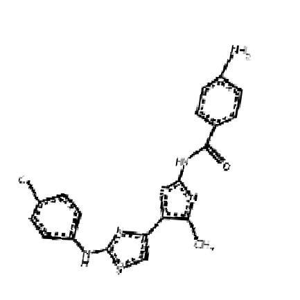 Cc1nc(NC(=O)c2ccc(N)cc2)sc1-c1csc(Nc2ccc(Cl)cc2)n1